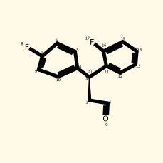 O=[C]C[C@@H](c1ccc(F)cc1)c1ccccc1F